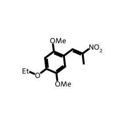 CCOc1cc(OC)c(/C=C(\C)[N+](=O)[O-])cc1OC